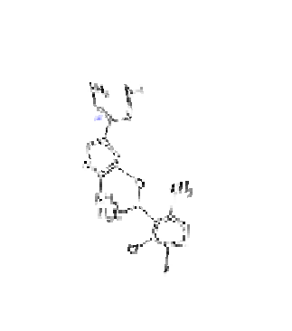 Cc1ccc(F)c(Cl)c1C(C)Oc1cc(/C(C=N)=C/N)cnc1N